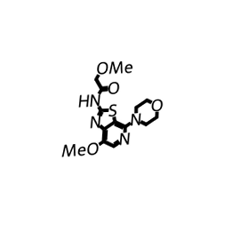 COCC(=O)Nc1nc2c(OC)cnc(N3CCOCC3)c2s1